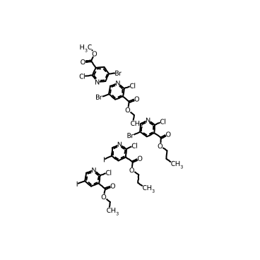 CCCOC(=O)c1cc(Br)cnc1Cl.CCCOC(=O)c1cc(I)cnc1Cl.CCOC(=O)c1cc(Br)cnc1Cl.CCOC(=O)c1cc(I)cnc1Cl.COC(=O)c1cc(Br)cnc1Cl